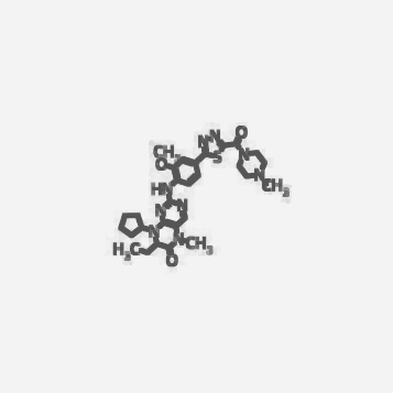 CCC1C(=O)N(C)c2cnc(Nc3ccc(-c4nnc(C(=O)N5CCN(C)CC5)s4)cc3OC)nc2N1C1CCCC1